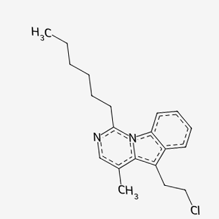 CCCCCCc1ncc(C)c2c(CCCl)c3ccccc3n12